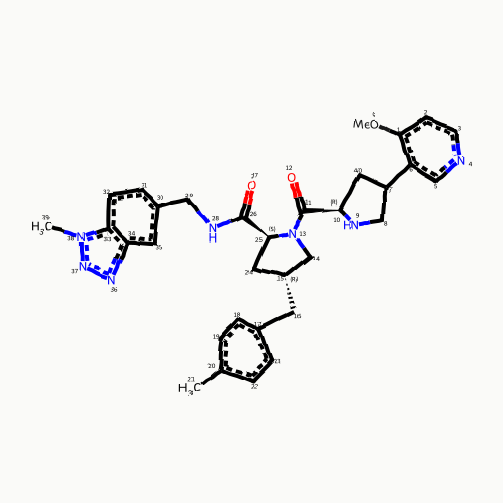 COc1ccncc1C1CN[C@@H](C(=O)N2C[C@H](Cc3ccc(C)cc3)C[C@H]2C(=O)NCc2ccc3c(c2)nnn3C)C1